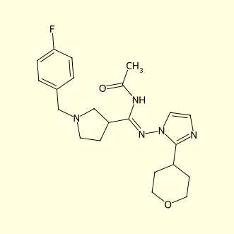 CC(=O)N/C(=N\n1ccnc1C1CCOCC1)C1CCN(Cc2ccc(F)cc2)C1